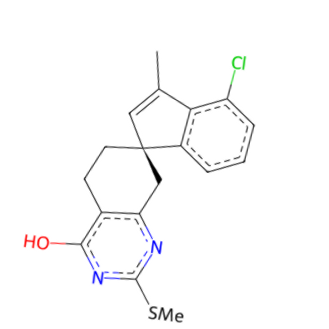 CSc1nc(O)c2c(n1)C[C@]1(C=C(C)c3c(Cl)cccc31)CC2